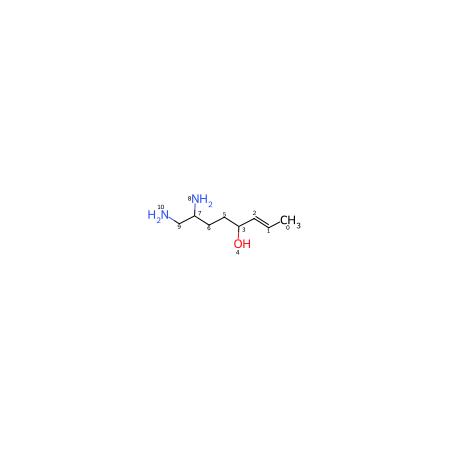 C/C=C/C(O)CCC(N)CN